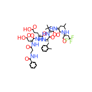 Cc1ccccc1C[C@H](NC(=O)[C@H](CCC(=O)O)NC(=O)[C@H](CC(=O)O)NC(=O)CCNC(=O)c1ccccc1)C(=O)N[C@H](C(=O)N[C@@H](CC(C)C)C(=O)N[C@H](C=O)CC(F)(F)F)C(C)(C)C